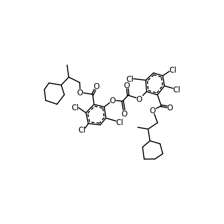 CC(COC(=O)c1c(Cl)c(Cl)cc(Cl)c1OC(=O)C(=O)Oc1c(Cl)cc(Cl)c(Cl)c1C(=O)OCC(C)C1CCCCC1)C1CCCCC1